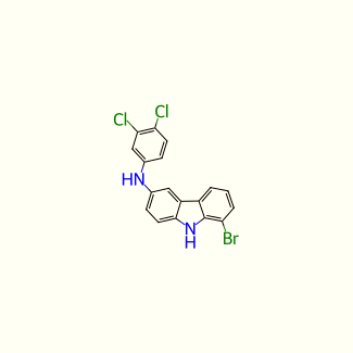 Clc1ccc(Nc2ccc3[nH]c4c(Br)cccc4c3c2)cc1Cl